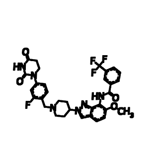 COc1ccc2cn(C3CCN(Cc4ccc(N5CCC(=O)NC5=O)cc4F)CC3)nc2c1NC(=O)c1cccc(C(F)(F)F)c1